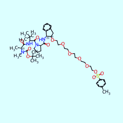 Cc1ccc(S(=O)(=O)OCCOCCOCCOCCOCCO[C@@H]2Cc3ccccc3[C@@H]2NC(=O)C2CCCN2C(=O)C(NC(=O)[C@H](C)N(C)C(=O)OC(C)(C)C)C(C)(C)C)cc1